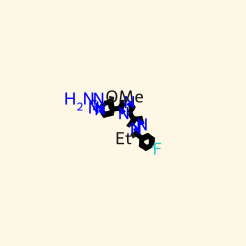 CCC(c1ccc(F)cc1)n1cc(-c2cncc(-c3ccn4nc(N)nc4c3OC)n2)cn1